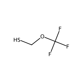 FC(F)(F)OCS